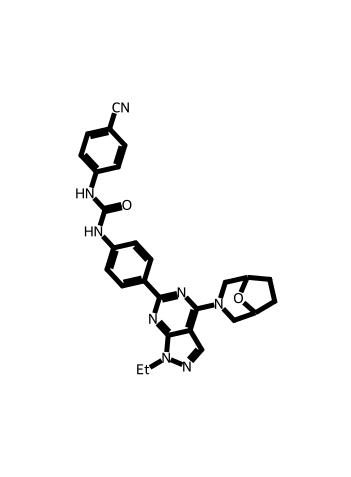 CCn1ncc2c(N3CC4CCC(C3)O4)nc(-c3ccc(NC(=O)Nc4ccc(C#N)cc4)cc3)nc21